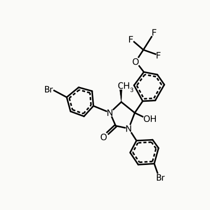 C[C@@H]1N(c2ccc(Br)cc2)C(=O)N(c2ccc(Br)cc2)C1(O)c1cccc(OC(F)(F)F)c1